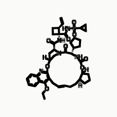 C=C[C@@H]1CC[C@]1(NC(=O)[C@@H]1C[C@@H]2CN1C(=O)[C@H](C1CCCC1)NC(=O)O[C@@H]1CCC[C@H]1CC/C=C/Cc1c(nc3ccccc3c1OCC)O2)C(=O)NS(=O)(=O)C1CC1